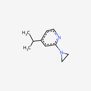 CC(C)c1ccnc(N2CC2)c1